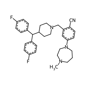 CN1CCCN(c2ccc(C#N)c(CN3CCC(C(c4ccc(F)cc4)c4ccc(F)cc4)CC3)c2)CC1